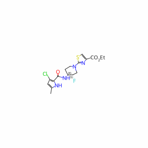 CCOC(=O)c1csc(N2CC[C@@H](NC(=O)c3[nH]c(C)cc3Cl)[C@@H](F)C2)n1